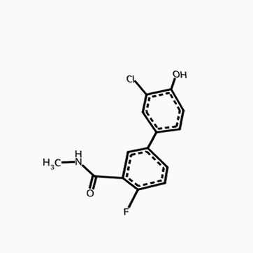 CNC(=O)c1cc(-c2ccc(O)c(Cl)c2)ccc1F